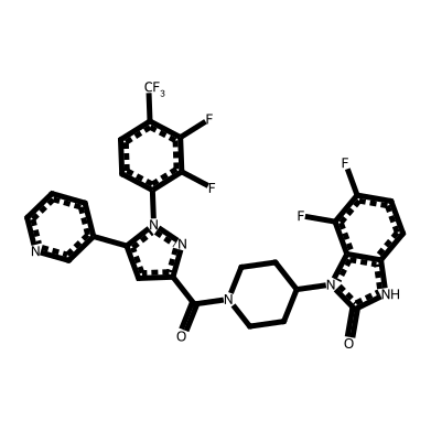 O=C(c1cc(-c2cccnc2)n(-c2ccc(C(F)(F)F)c(F)c2F)n1)N1CCC(n2c(=O)[nH]c3ccc(F)c(F)c32)CC1